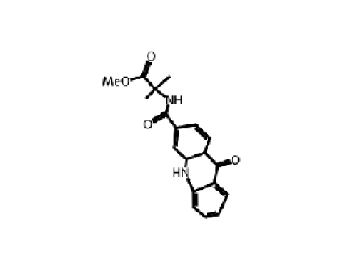 COC(=O)C(C)(C)NC(=O)C1=CC2Nc3ccccc3C(=O)C2C=C1